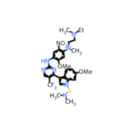 CCN(C)CCN(C)c1cc(OC)c(Nc2ncc(C(F)(F)F)c(-c3cn(SN(C)C)c4cc(OC)ccc34)n2)cc1[N+](=O)[O-]